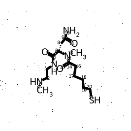 CNCCNC(=O)[C@H](CC(N)=O)N(C)C(=O)CCCCCS